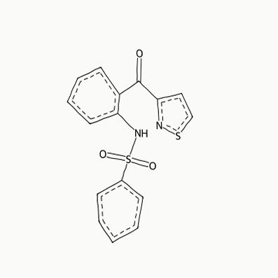 O=C(c1ccsn1)c1ccccc1NS(=O)(=O)c1ccccc1